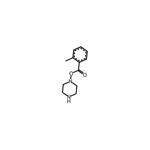 Cc1ccccc1C(=O)ON1CCNCC1